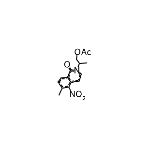 CC(=O)OCC(C)n1ccc2c([N+](=O)[O-])c(C)ccc2c1=O